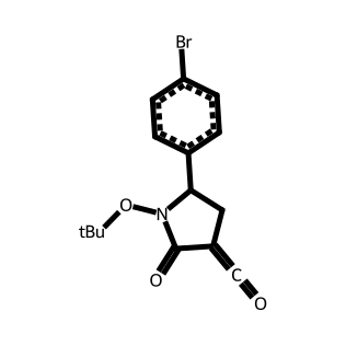 CC(C)(C)ON1C(=O)C(=C=O)CC1c1ccc(Br)cc1